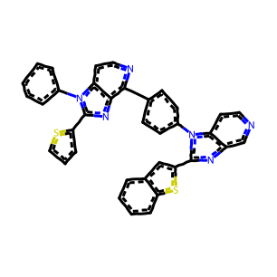 c1ccc(-n2c(-c3cccs3)nc3c(-c4ccc(-n5c(-c6cc7ccccc7s6)nc6cnccc65)cc4)nccc32)cc1